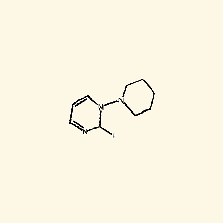 FC1N=CC=CN1N1CCCCC1